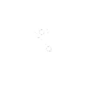 COCc1c(Cl)cc(N2CCN(C(=O)c3cc(S(C)(=O)=O)ccc3N3CCCCC3)CC2)cc1Cl